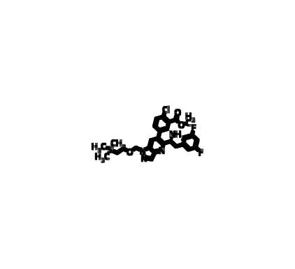 COC(=O)c1cc(-c2cc3c(cnn3COCC[Si](C)(C)C)nc2[C@@H](N)Cc2cc(F)cc(F)c2)ccc1Cl